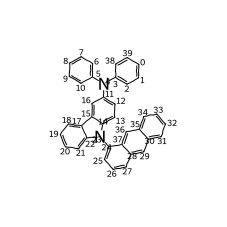 c1ccc(N(c2ccccc2)c2ccc3c(c2)c2ccccc2n3-c2cccc3cc4ccccc4cc23)cc1